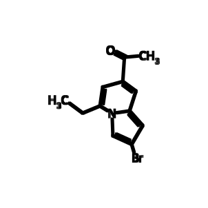 CCc1cc(C(C)=O)cc2cc(Br)cn12